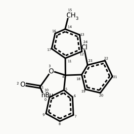 CCCCC(=O)OC(c1ccccc1)(c1ccc(C)cc1)c1ccccc1Cl